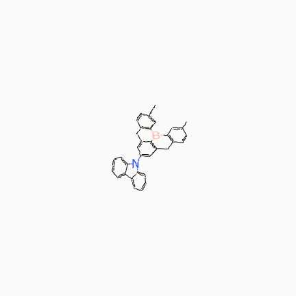 Cc1ccc2c(c1)B1c3cc(C)ccc3Cc3cc(-n4c5ccccc5c5ccccc54)cc(c31)C2